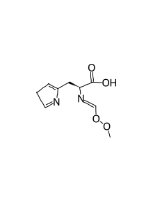 COO/C=N/[C@@H](CC1=CCC=N1)C(=O)O